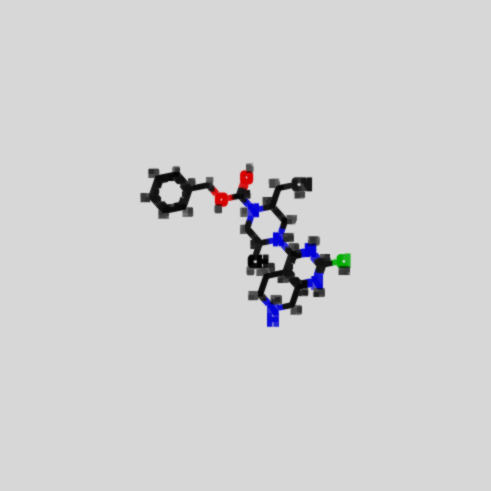 CC1CN(C(=O)OCc2ccccc2)C(CC#N)CN1c1nc(Cl)nc2c1CCNC2